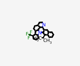 CC(C)c1c2ccccc2cc2c3nccc4ccc5c6c(C(F)(F)F)cccc6n(c12)c5c43